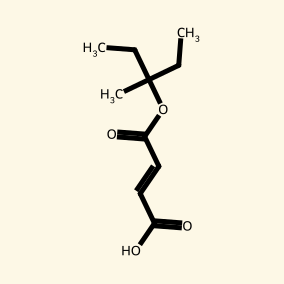 CCC(C)(CC)OC(=O)C=CC(=O)O